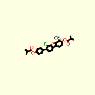 C=C(C)C(=O)Oc1ccc(-c2ccc3c(sc4c(C(F)(F)F)c(OC(=O)C(=C)C)ccc43)c2F)cc1